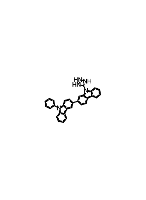 c1ccc(-n2c3ccccc3c3cc(-c4ccc5c6ccccc6n(C6NNN6)c5c4)ccc32)cc1